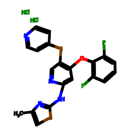 Cc1csc(Nc2cc(Oc3c(F)cccc3F)c(Sc3ccncc3)cn2)n1.Cl.Cl